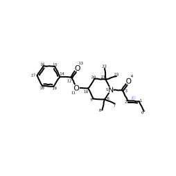 C/C=C/C(=O)N1C(C)(C)CC(OC(=O)c2ccccc2)CC1(C)C